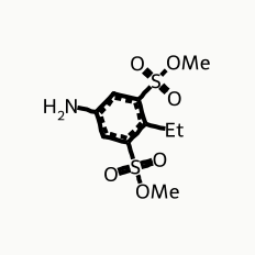 CCc1c(S(=O)(=O)OC)cc(N)cc1S(=O)(=O)OC